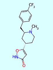 CN1CC[C@H](c2cc(=O)[nH]o2)C[C@H]1Cc1ccc(C(F)(F)F)cc1